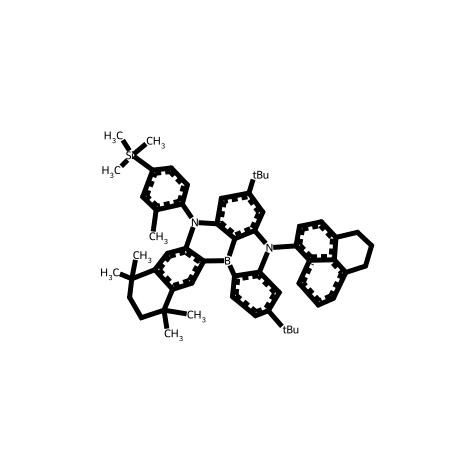 Cc1cc([Si](C)(C)C)ccc1N1c2cc3c(cc2B2c4ccc(C(C)(C)C)cc4N(c4ccc5c6c(cccc46)CCC5)c4cc(C(C)(C)C)cc1c42)C(C)(C)CCC3(C)C